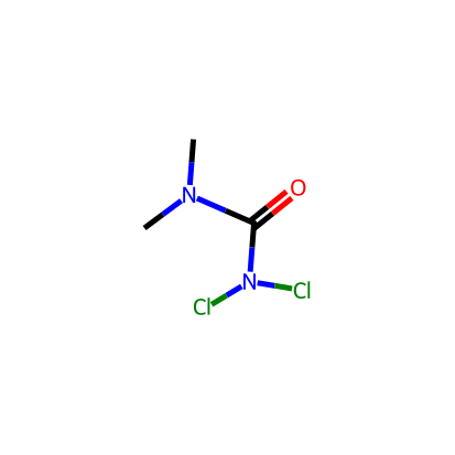 CN(C)C(=O)N(Cl)Cl